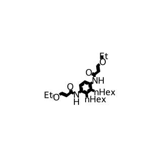 CCCCCCc1c(NC(=O)/C=C/OCC)ccc(NC(=O)/C=C/OCC)c1CCCCCC